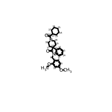 COc1ccc(CNC(=O)C2(c3ccccc3)CCN(C(=O)C3CCCCC3)CC2)c(OC)c1